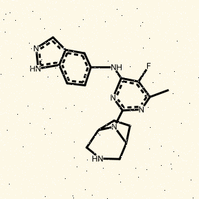 Cc1nc(N2C3CCC2CNC3)nc(Nc2ccc3[nH]ncc3c2)c1F